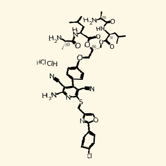 CC(C)CC(NC(=O)[C@H](C)N)C(=O)O[C@H](COC(=O)[C@H](CC(C)C)NC(=O)[C@H](C)N)COc1ccc(-c2c(C#N)c(N)nc(SCc3coc(-c4ccc(Cl)cc4)n3)c2C#N)cc1.Cl.Cl